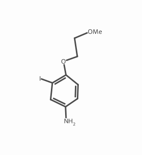 COCCOc1ccc(N)cc1I